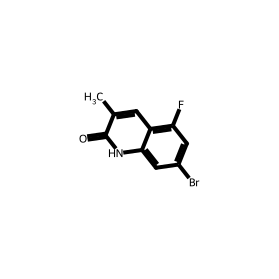 Cc1cc2c(F)cc(Br)cc2[nH]c1=O